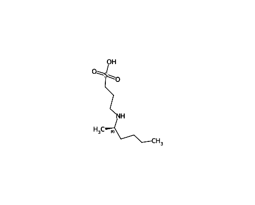 CCCC[C@@H](C)NCCCS(=O)(=O)O